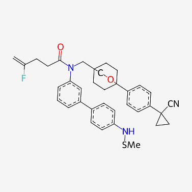 C=C(F)CCC(=O)N(CC12CCC(c3ccc(C4(C#N)CC4)cc3)(CC1)OC2)c1cccc(-c2ccc(NSC)cc2)c1